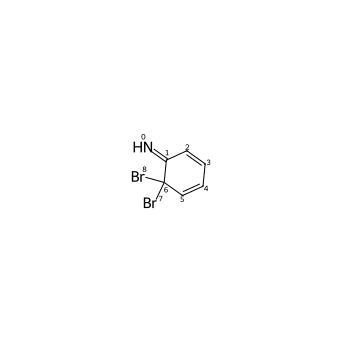 N=C1C=CC=CC1(Br)Br